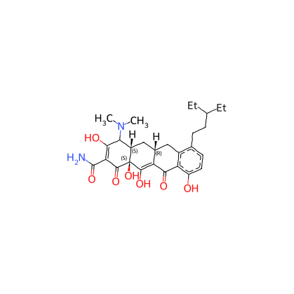 CCC(CC)CCc1ccc(O)c2c1C[C@H]1C[C@H]3C(N(C)C)C(O)=C(C(N)=O)C(=O)[C@@]3(O)C(O)=C1C2=O